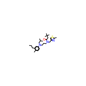 CCCc1cc(N(CCCN(Cc2csc(C)n2)C(=O)CC(C)(C)C)CC(C)C)ccc1C